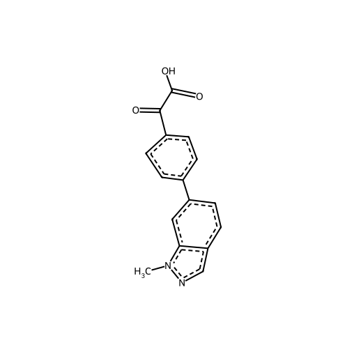 Cn1ncc2ccc(-c3ccc(C(=O)C(=O)O)cc3)cc21